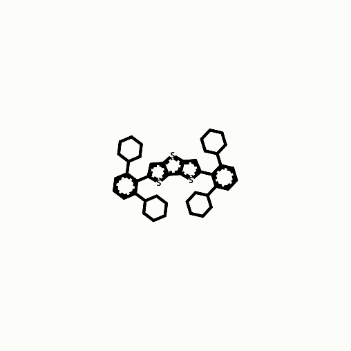 c1cc(C2CCCCC2)c(-c2cc3sc4cc(-c5c(C6CCCCC6)cccc5C5CCCCC5)sc4c3s2)c(C2CCCCC2)c1